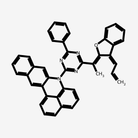 C=C/C=c1\c(=C(/C)c2nc(-c3ccccc3)nc(N3c4cc5ccccc5cc4-c4cccc5cccc3c45)n2)oc2ccccc12